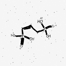 O=P(O)(O)/C=C\CP(=O)(O)O